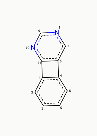 c1ccc2c(c1)-c1cncnc1-2